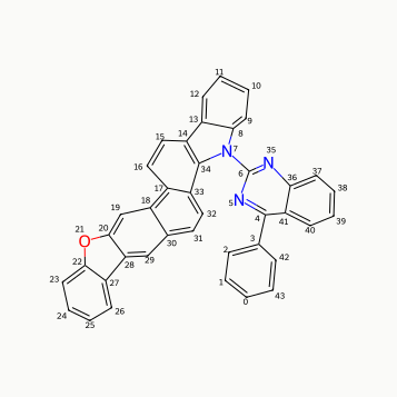 c1ccc(-c2nc(-n3c4ccccc4c4ccc5c6cc7oc8ccccc8c7cc6ccc5c43)nc3ccccc23)cc1